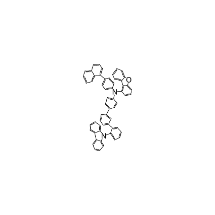 c1cc(-c2ccc(N(c3ccc(-c4cccc5ccccc45)cc3)c3cccc4oc5ccccc5c34)cc2)cc(-c2ccccc2-n2c3ccccc3c3ccccc32)c1